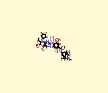 CCC1C(=O)N(C)c2cnc(Nc3ccc(C(=O)NC4C[C@@H]5CN(C)C[C@@H]5C4)cc3OC)nc2N1C1CCCC1